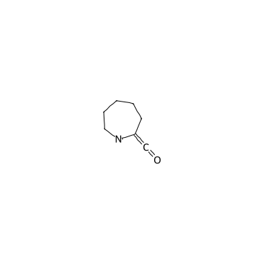 O=C=C1CCCCC[N]1